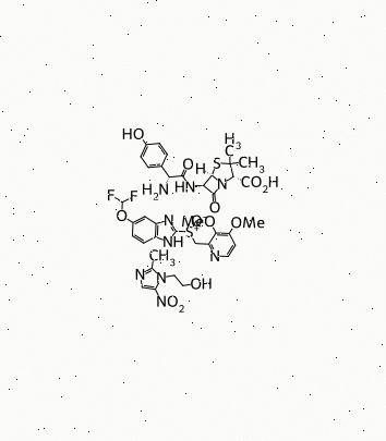 CC1(C)S[C@@H]2[C@H](NC(=O)[C@H](N)c3ccc(O)cc3)C(=O)N2[C@H]1C(=O)O.COc1ccnc(C[S+]([O-])c2nc3cc(OC(F)F)ccc3[nH]2)c1OC.Cc1ncc([N+](=O)[O-])n1CCO